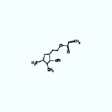 C=CC(=O)OCCC1CC(C)C(C)C1CCC